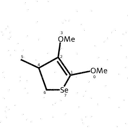 COC1=C(OC)C(C)C[Se]1